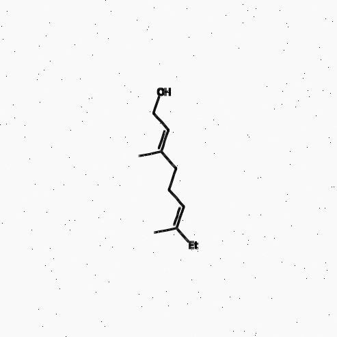 CCC(C)=CCC/C(C)=C/CO